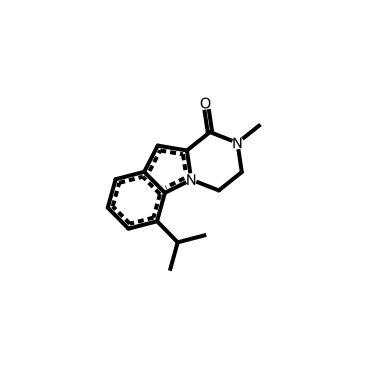 CC(C)c1cccc2cc3n(c12)CCN(C)C3=O